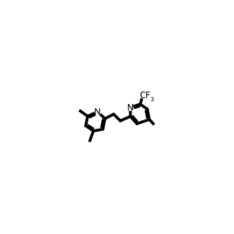 Cc1cc(C)nc(CCc2cc(C)cc(C(F)(F)F)n2)c1